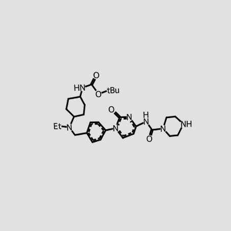 CCN(Cc1ccc(-n2ccc(NC(=O)N3CCNCC3)nc2=O)cc1)C1CCC(NC(=O)OC(C)(C)C)CC1